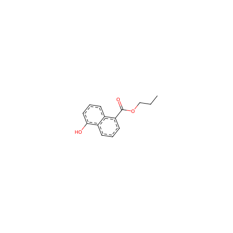 CCCOC(=O)c1cccc2c(O)cccc12